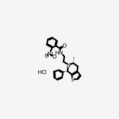 C[C@@H]1Cc2ccsc2[C@H](c2ccccc2)N1CCNC(=O)c1ccccc1[N+](=O)[O-].Cl